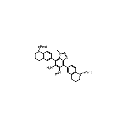 CCCCCN1CCCc2cc(-c3c(N=S)c(N)c(-c4ccc5c(c4)CCCN5CCCCC)c4c3nnn4C)ccc21